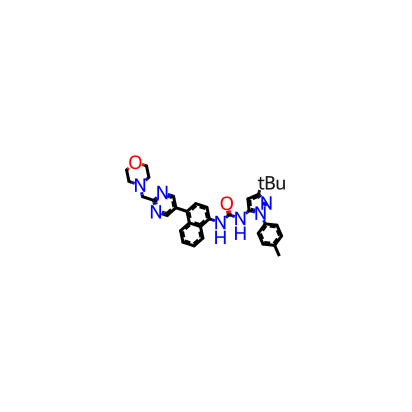 Cc1ccc(-n2nc(C(C)(C)C)cc2NC(=O)Nc2ccc(-c3cnc(CN4CCOCC4)nc3)c3ccccc23)cc1